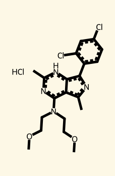 COCCN(CCOC)c1nc(C)[nH]c2c(-c3ccc(Cl)cc3Cl)nc(C)c1-2.Cl